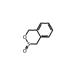 O=S1Cc2ccccc2CO1